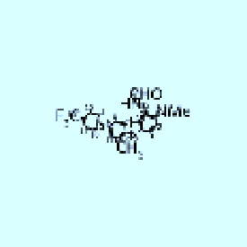 CNc1ccc(Nc2ccc(N3CCC(C(F)(F)F)CC3)cc2C)cc1CNC=O